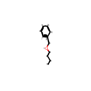 CCC[CH]OCc1ccccc1